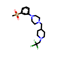 CS(=O)(=O)c1cccc(N2CCN(CC3CCN(CC(F)(F)F)CC3)CC2)c1